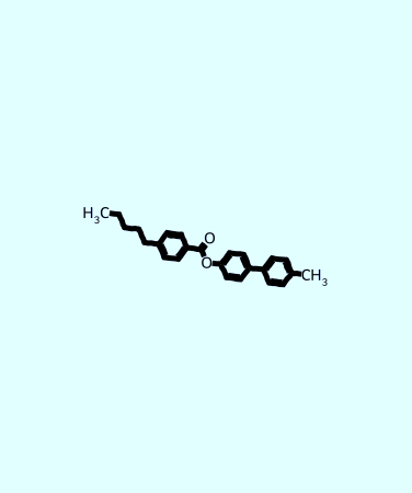 CCCCCc1ccc(C(=O)Oc2ccc(-c3ccc(C)cc3)cc2)cc1